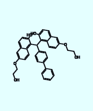 OCCOc1ccc2c(C(c3ccc(-c4ccccc4)cc3)c3c(O)ccc4cc(OCCO)ccc34)c(O)ccc2c1